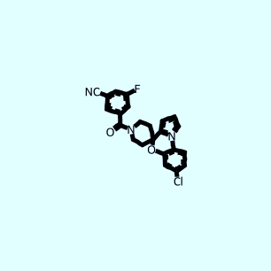 N#Cc1cc(F)cc(C(=O)N2CCC3(CC2)Oc2cc(Cl)ccc2-n2cccc23)c1